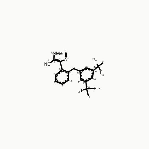 C=N/C(=C(/C#N)NC)c1ccccc1Cc1cc(C(C)(F)F)cc(C(C)(F)F)c1